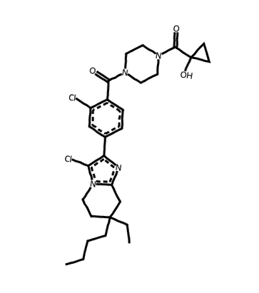 CCCCC1(CC)CCn2c(nc(-c3ccc(C(=O)N4CCN(C(=O)C5(O)CC5)CC4)c(Cl)c3)c2Cl)C1